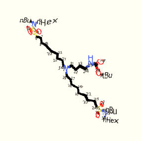 CCCCCCN(CCCC)S(=O)(=O)CCCCCCCCCN(CCCCCCCCCS(=O)(=O)N(CCCC)CCCCCC)CCCCNC(=O)OC(C)(C)C